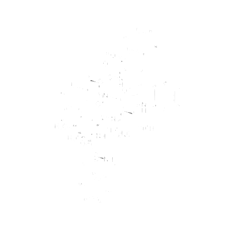 CC(C)C[C@H](C(=O)N[C@@H](Cc1ccccc1)C(=O)N[C@@H](Cc1c[nH]c2ccccc12)C(=O)c1ccccc1)N(C)C(=O)[C@@H](CC(C)C)NC(=O)[C@@H](N)Cc1ccccc1